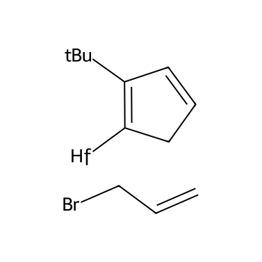 C=CCBr.CC(C)(C)C1=[C]([Hf])CC=C1